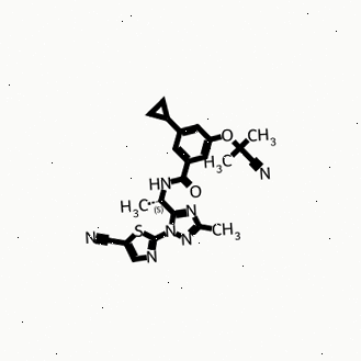 Cc1nc([C@H](C)NC(=O)c2cc(OC(C)(C)C#N)cc(C3CC3)c2)n(-c2ncc(C#N)s2)n1